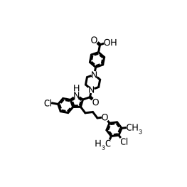 Cc1cc(OCCCc2c(C(=O)N3CCN(c4ccc(C(=O)O)cc4)CC3)[nH]c3cc(Cl)ccc23)cc(C)c1Cl